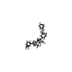 CC(Oc1nnc(-c2ccnc(OCc3ccccc3)c2)n1C)c1cc(-c2cccc(Cl)c2)on1